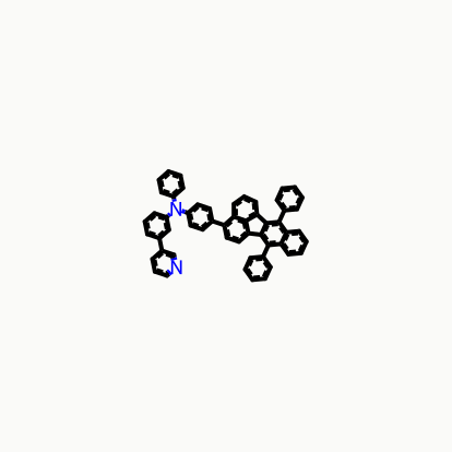 c1ccc(-c2c3c(c(-c4ccccc4)c4ccccc24)-c2ccc(-c4ccc(N(c5ccccc5)c5cccc(-c6cccnc6)c5)cc4)c4cccc-3c24)cc1